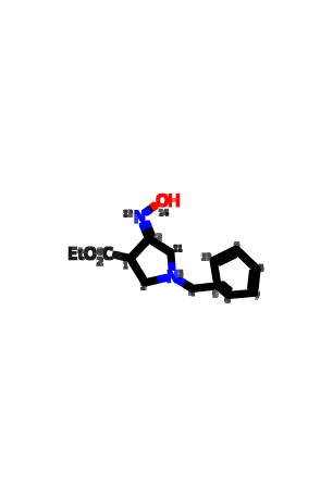 CCOC(=O)C1CN(Cc2ccccc2)CC1=NO